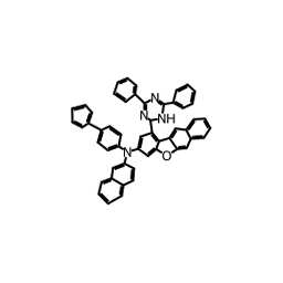 c1ccc(C2=NC(c3cc(N(c4ccc(-c5ccccc5)cc4)c4ccc5ccccc5c4)cc4oc5cc6ccccc6cc5c34)NC(c3ccccc3)=N2)cc1